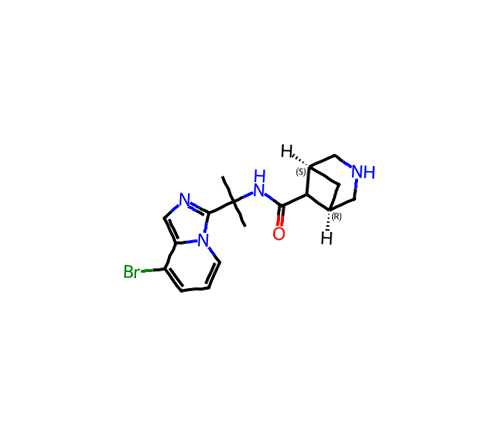 CC(C)(NC(=O)C1[C@@H]2CNC[C@H]1C2)c1ncc2c(Br)cccn12